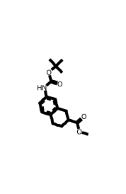 COC(=O)C1CCc2ccc(NC(=O)OC(C)(C)C)cc2C1